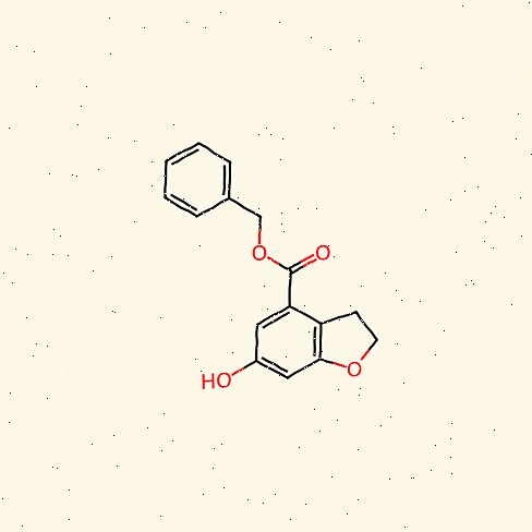 O=C(OCc1ccccc1)c1cc(O)cc2c1CCO2